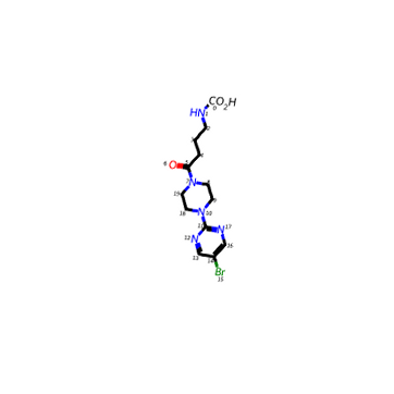 O=C(O)NCCCC(=O)N1CCN(c2ncc(Br)cn2)CC1